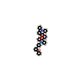 c1cc(-c2ccc(-c3ccccc3-n3c4ccccc4c4ccccc43)cc2)cc(N(c2ccc(-c3cccc4c3oc3ccccc34)cc2)c2ccccc2-c2cccc3ccccc23)c1